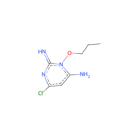 CCCOn1c(N)cc(Cl)nc1=N